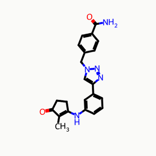 CC1=C(Nc2cccc(-c3cn(Cc4ccc(C(N)=O)cc4)nn3)c2)CCC1=O